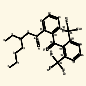 CCCCC(CC)C[PH](=O)c1ccccc1C(=O)c1c(C(F)(F)F)cccc1C(F)(F)F